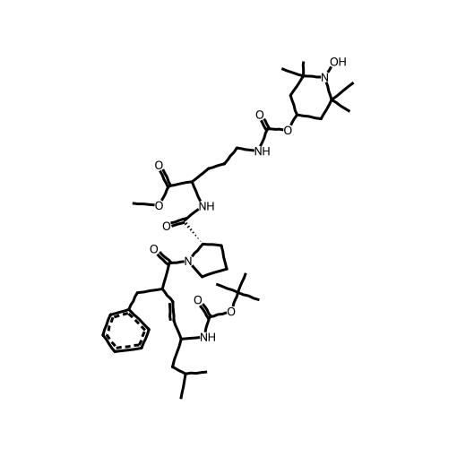 COC(=O)C(CCCNC(=O)OC1CC(C)(C)N(O)C(C)(C)C1)NC(=O)[C@@H]1CCCN1C(=O)C(/C=C/C(CC(C)C)NC(=O)OC(C)(C)C)Cc1ccccc1